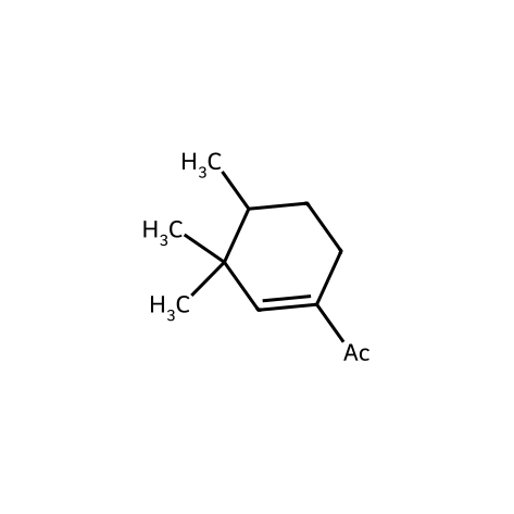 CC(=O)C1=CC(C)(C)C(C)CC1